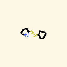 c1ccc(SSc2ccccn2)cc1